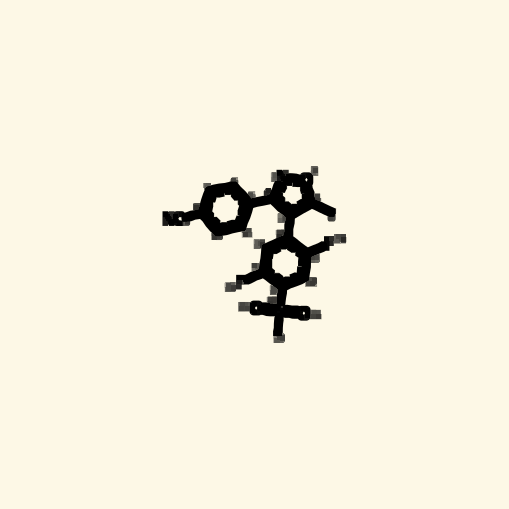 Cc1onc(-c2ccc(C#N)cc2)c1-c1cc(F)c(S(C)(=O)=O)cc1F